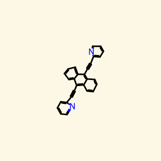 C(#Cc1c2ccccc2c(C#Cc2ccccn2)c2ccccc12)c1ccccn1